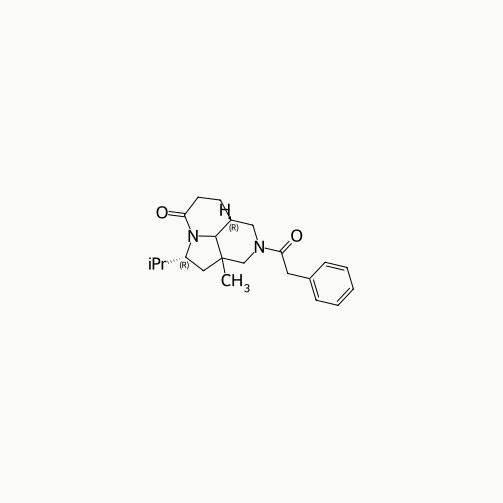 CC(C)[C@H]1CC2(C)CN(C(=O)Cc3ccccc3)C[C@H]3CCC(=O)N1C32